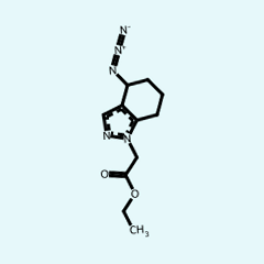 CCOC(=O)Cn1ncc2c1CCCC2N=[N+]=[N-]